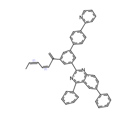 C=C(/C=C\C=C/C)c1cc(-c2ccc(-c3ccccn3)cc2)cc(-c2nc(-c3ccccc3)c3cc(-c4ccccc4)ccc3n2)c1